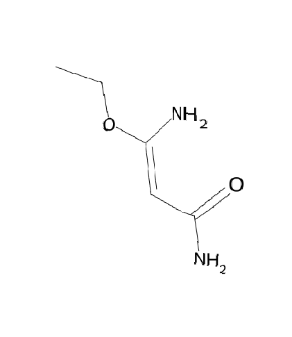 CCOC(N)=CC(N)=O